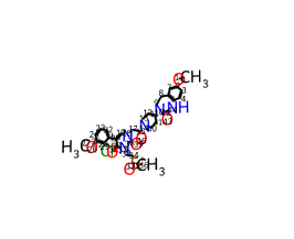 COc1ccc2c(c1)CCN(C1CCN(C(=O)Cn3cc(-c4cccc(OC)c4Cl)c(=O)n(CC[S+](C)[O-])c3=O)CC1)C(=O)N2